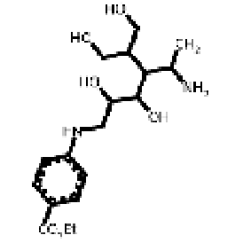 CCOC(=O)c1ccc(NCC(O)C(O)C(C(C)N)C(CO)CO)cc1